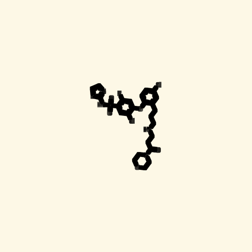 O=C(CCNCCCc1cc(Cl)ccc1Oc1cc(F)c(S(=O)(=O)Nc2nccs2)cc1Cl)N1CCOCC1